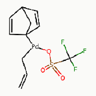 C=C[CH2][Pd]([O]S(=O)(=O)C(F)(F)F)[C]12C=CC(C=C1)C2